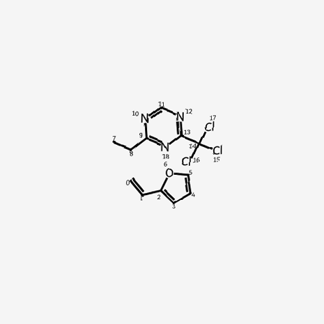 C=Cc1ccco1.CCc1ncnc(C(Cl)(Cl)Cl)n1